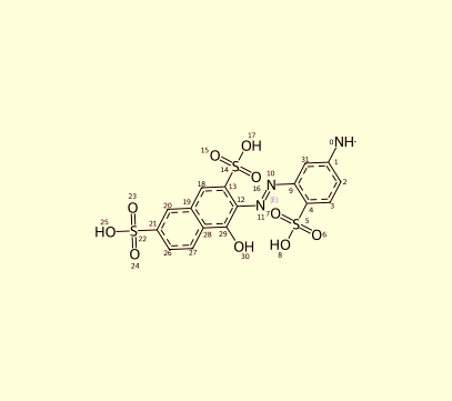 [NH]c1ccc(S(=O)(=O)O)c(/N=N/c2c(S(=O)(=O)O)cc3cc(S(=O)(=O)O)ccc3c2O)c1